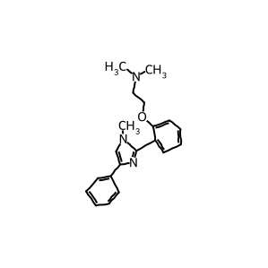 CN(C)CCOc1ccccc1-c1nc(-c2ccccc2)cn1C